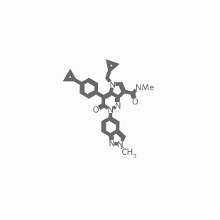 CNC(=O)c1cn(CC2CC2)c2c(-c3ccc(C4CC4)cc3)c(=O)n(-c3ccc4nn(C)cc4c3)nc12